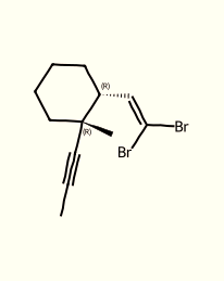 CC#C[C@]1(C)CCCC[C@@H]1C=C(Br)Br